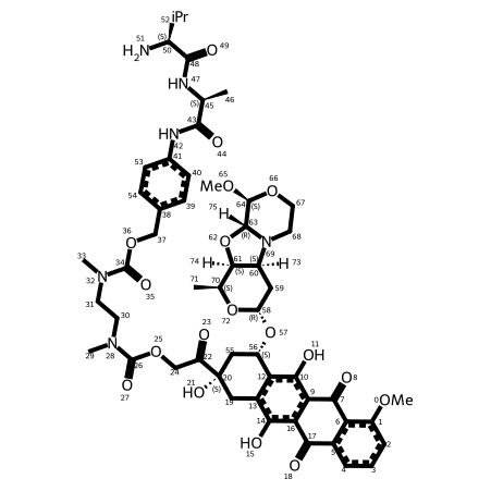 COc1cccc2c1C(=O)c1c(O)c3c(c(O)c1C2=O)C[C@@](O)(C(=O)COC(=O)N(C)CCN(C)C(=O)OCc1ccc(NC(=O)[C@H](C)NC(=O)[C@@H](N)C(C)C)cc1)C[C@@H]3O[C@H]1C[C@H]2[C@H](O[C@@H]3[C@@H](OC)OCCN32)[C@H](C)O1